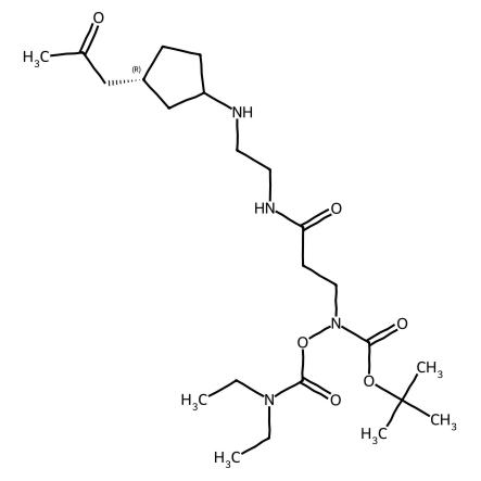 CCN(CC)C(=O)ON(CCC(=O)NCCNC1CC[C@@H](CC(C)=O)C1)C(=O)OC(C)(C)C